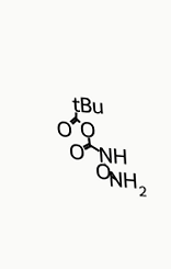 CC(C)(C)C(=O)OC(=O)NON